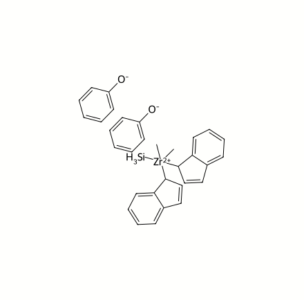 [CH3][Zr+2]([CH3])([SiH3])([CH]1C=Cc2ccccc21)[CH]1C=Cc2ccccc21.[O-]c1ccccc1.[O-]c1ccccc1